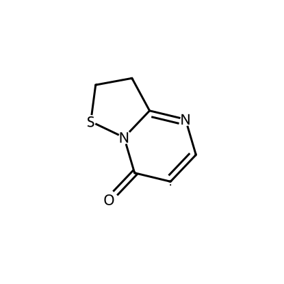 O=c1[c]cnc2n1SCC2